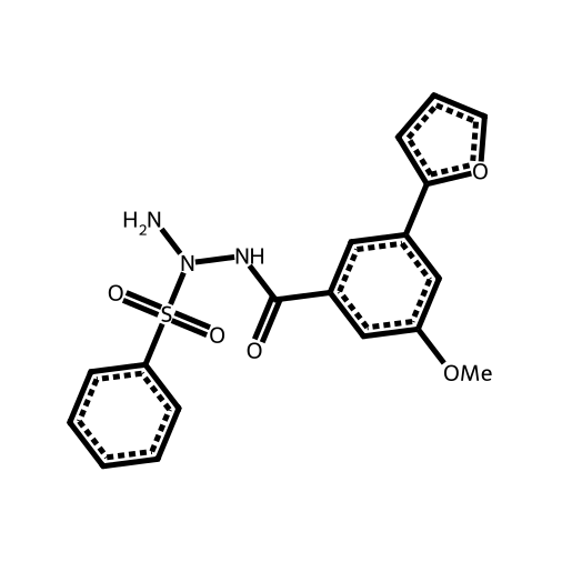 COc1cc(C(=O)NN(N)S(=O)(=O)c2ccccc2)cc(-c2ccco2)c1